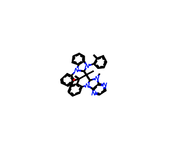 Cc1ccccc1N1c2ccccc2N(c2ccccc2)C1C1(C)C2N(C)c3nccnc3N2c2ccc3cc2C1(C)C3